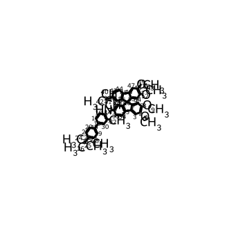 COc1cc2c(cc1OC)C1(c3cc(Nc4ccc(-c5ccc(C(C)(C)C)c(C)c5)cc4C)ccc3-2)c2cc(C(C)(C)C)ccc2-c2cc(OC)c(OC)cc21